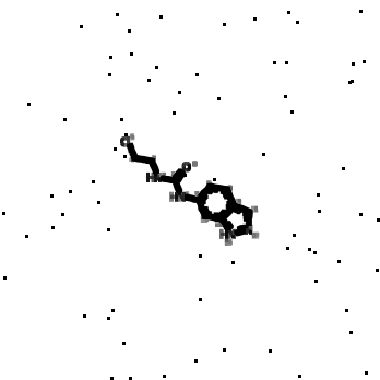 O=C(NCCCl)Nc1ccc2cn[nH]c2c1